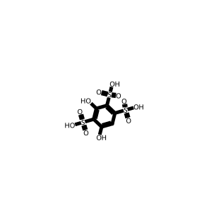 O=S(=O)(O)c1cc(O)c(S(=O)(=O)O)c(O)c1S(=O)(=O)O